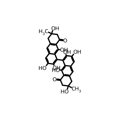 CC1(O)CC(=O)c2c(cc3cc(O)c(O)c(-c4c(O)c(O)cc5cc6c(c(O)c45)C(=O)CC(C)(O)C6)c3c2O)C1